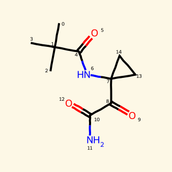 CC(C)(C)C(=O)NC1(C(=O)C(N)=O)CC1